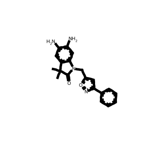 CC1(C)C(=O)N(Cc2cc(-c3ccccc3)no2)c2cc(N)c(N)cc21